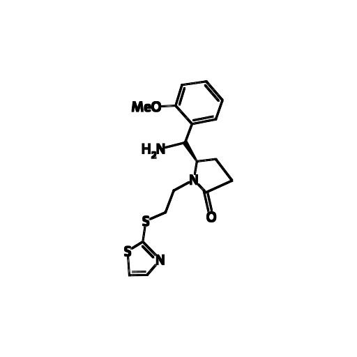 COc1ccccc1C(N)[C@H]1CCC(=O)N1CCSc1nccs1